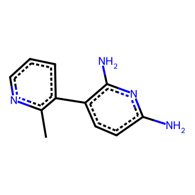 Cc1ncccc1-c1ccc(N)nc1N